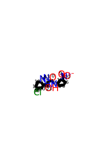 O=C(Nc1cccc([N+](=O)[O-])c1)c1nnc2ccc(Cl)cc2c1O